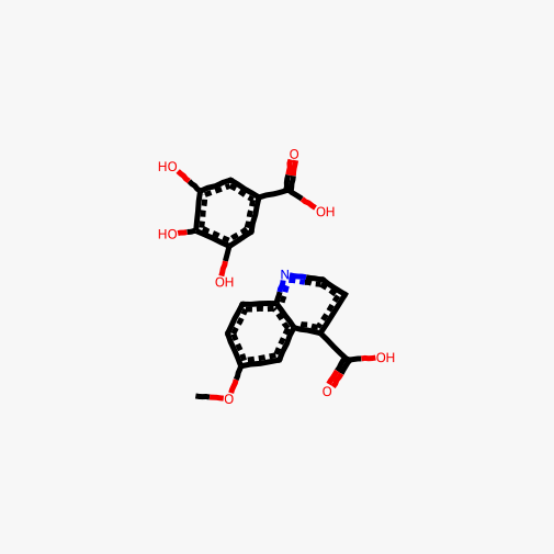 COc1ccc2nccc(C(=O)O)c2c1.O=C(O)c1cc(O)c(O)c(O)c1